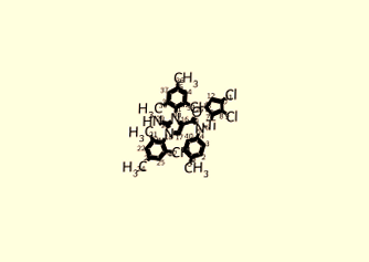 Cc1ccc([N]([Ti][C]2=C(Cl)C(Cl)=CC2)C(=O)c2cn(-c3c(C)cc(C)cc3C)c(=N)n2-c2c(C)cc(C)cc2C)cc1